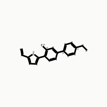 C=Cc1ccc(-c2ccc(-c3ccc(CC)cc3)cc2F)s1